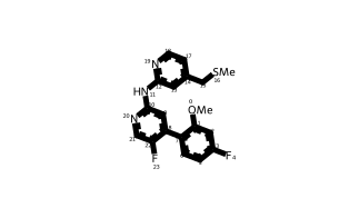 COc1cc(F)ccc1-c1cc(Nc2cc(CSC)ccn2)ncc1F